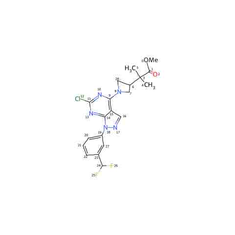 COC(=O)C(C)(C)C1CN(c2nc(Cl)nc3c2cnn3-c2cccc(C(F)F)c2)C1